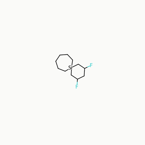 FC1CC(F)C[Si]2(CCCCCC2)C1